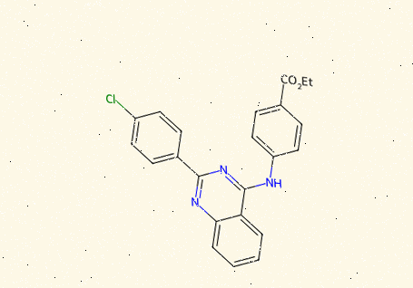 CCOC(=O)c1ccc(Nc2nc(-c3ccc(Cl)cc3)nc3ccccc23)cc1